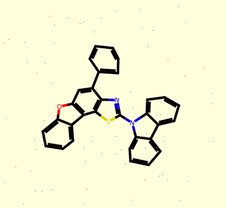 c1ccc(-c2cc3oc4ccccc4c3c3sc(-n4c5ccccc5c5ccccc54)nc23)cc1